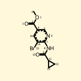 COC(=O)c1cnc(NC(=O)C2CC2)c(Br)c1